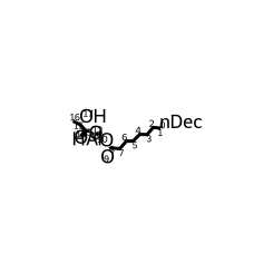 CCCCCCCCCCCCCCCCCC(=O)[O][AlH][O]C(=O)C(C)O